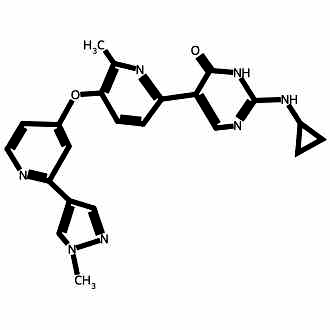 Cc1nc(-c2cnc(NC3CC3)[nH]c2=O)ccc1Oc1ccnc(-c2cnn(C)c2)c1